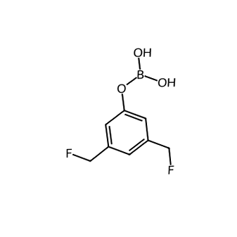 OB(O)Oc1cc(CF)cc(CF)c1